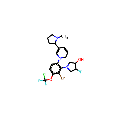 CN1CCCC1C1=CN(c2ccc(OC(F)(F)Cl)c(Br)c2N2CC(O)C(F)C2)CC=C1